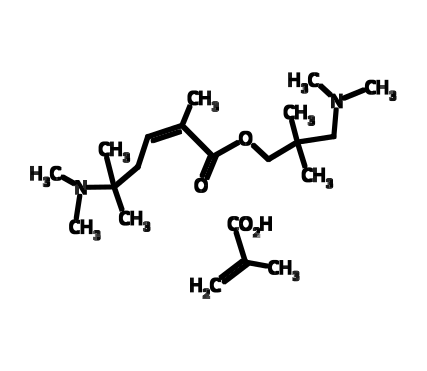 C=C(C)C(=O)O.CC(=CCC(C)(C)N(C)C)C(=O)OCC(C)(C)CN(C)C